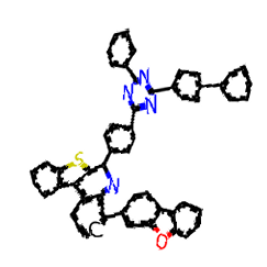 c1ccc(-c2ccc(-c3nc(-c4ccccc4)nc(-c4ccc(-c5nc6c(-c7ccc8c(c7)oc7ccccc78)cccc6c6c5sc5ccccc56)cc4)n3)cc2)cc1